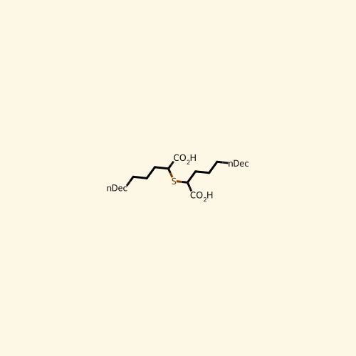 CCCCCCCCCCCCCC(SC(CCCCCCCCCCCCC)C(=O)O)C(=O)O